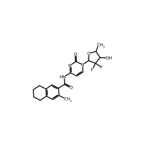 Cc1cc2c(cc1C(=O)Nc1ccn(C3OC(C)C(O)C3(F)F)c(=O)n1)CCCC2